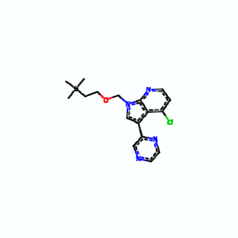 C[Si](C)(C)CCOCn1cc(-c2cnccn2)c2c(Cl)ccnc21